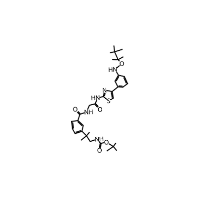 CC(C)(C)OC(=O)NCC(C)(C)c1cccc(C(=O)NCC(=O)Nc2nc(-c3cccc(NOC(C)(C)C(C)(C)C)c3)cs2)c1